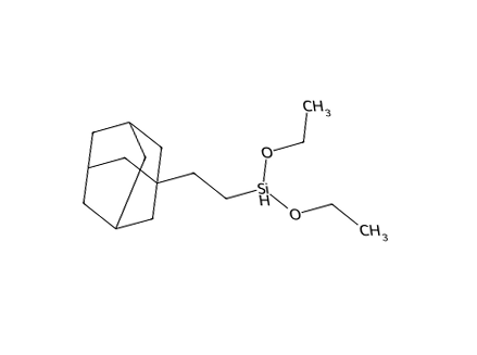 CCO[SiH](CCC12CC3CC(CC(C3)C1)C2)OCC